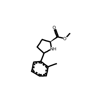 COC(=O)[C@@H]1CCC(c2ccccc2C)N1